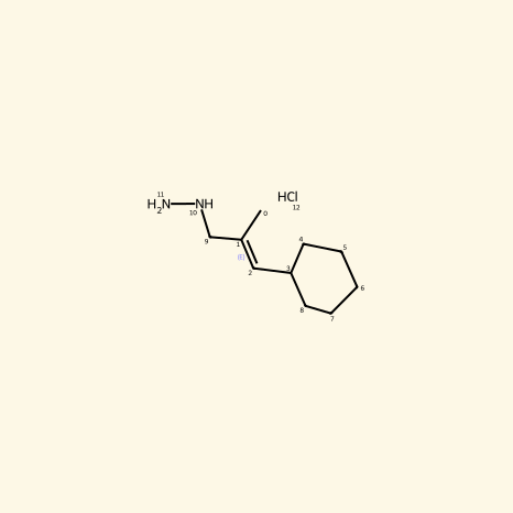 C/C(=C\C1CCCCC1)CNN.Cl